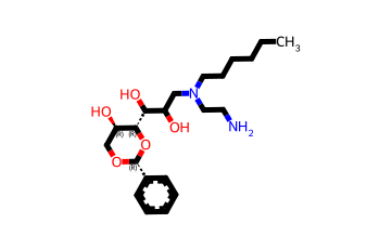 CCCCCCN(CCN)CC(O)C(O)[C@@H]1O[C@H](c2ccccc2)OC[C@H]1O